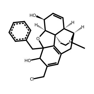 CN1CC[C@]23C4=C5C=C(CCl)C(O)C4(Cc4ccccc4)O[C@H]2[C@@H](O)C=C[C@H]3[C@H]1C5